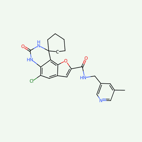 Cc1cncc(CNC(=O)c2cc3cc(Cl)c4c(c3o2)C2(CCCCC2)NC(=O)N4)c1